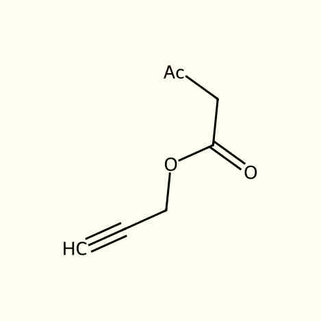 C#CCOC(=O)CC(C)=O